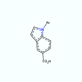 CC(=O)n1ccc2cc(C(=O)O)ccc21